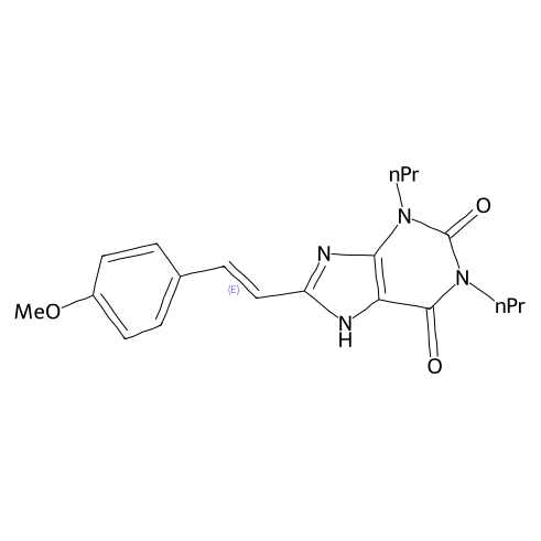 CCCn1c(=O)c2[nH]c(/C=C/c3ccc(OC)cc3)nc2n(CCC)c1=O